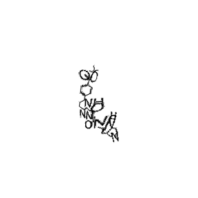 CC(C)(C)OC(=O)c1ccc(C2CCc3ncn(CC(=O)NCc4cc5cnccc5[nH]4)c(=O)c3N2)cc1